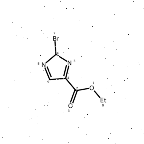 CCOC(=O)C1=NC(Br)N=C1